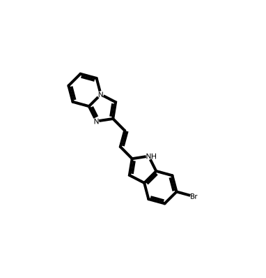 Brc1ccc2cc(/C=C/c3cn4ccccc4n3)[nH]c2c1